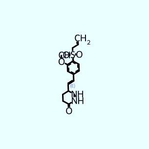 C=CCS(=O)(=O)c1ccc(/C=C/C2CCC(=O)NN2)cc1OC